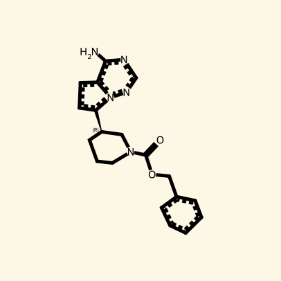 Nc1ncnn2c([C@@H]3CCCN(C(=O)OCc4ccccc4)C3)ccc12